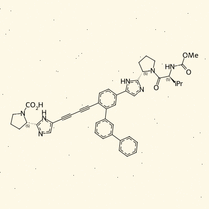 COC(=O)N[C@H](C(=O)N1CCC[C@H]1c1ncc(-c2ccc(C#CC#Cc3cnc([C@@H]4CCCN4C(=O)O)[nH]3)c(-c3cccc(-c4ccccc4)c3)c2)[nH]1)C(C)C